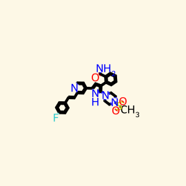 CS(=O)(=O)N1CCN(c2[nH]c(-c3ccnc(/C=C/c4ccc(F)cc4)c3)cc2-c2ccccc2C(N)=O)CC1